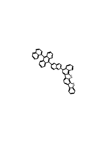 c1ccc2c(-c3c4ccccc4c(-c4ccc5cc(-c6cc7c8ccc9c%10ccccc%10sc9c8sc7c7ccccc67)ccc5c4)c4ccccc34)cccc2c1